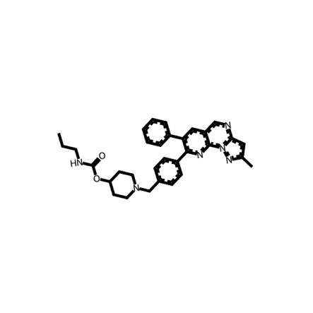 CCCNC(=O)OC1CCN(Cc2ccc(-c3nc4c(cnc5cc(C)nn54)cc3-c3ccccc3)cc2)CC1